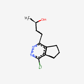 C[C@@H](O)CCc1nnc(Cl)c2c1CCC2